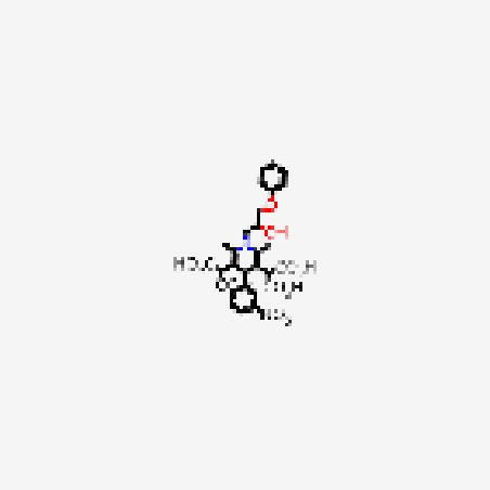 CC1=C(C(C(=O)O)C(=O)O)C(c2cccc([N+](=O)[O-])c2)C(C(C(=O)O)C(=O)O)=C(C)N1CC(O)COc1ccccc1